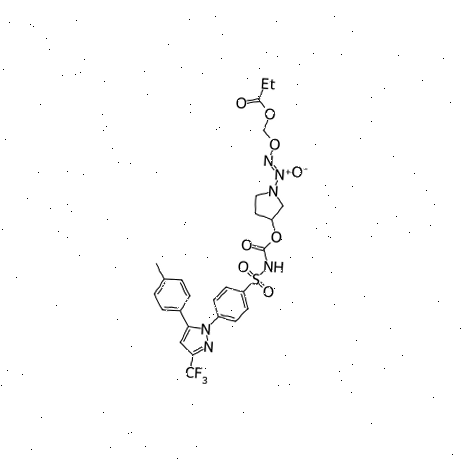 CCC(=O)OCO/N=[N+](\[O-])N1CCC(OC(=O)NS(=O)(=O)c2ccc(-n3nc(C(F)(F)F)cc3-c3ccc(C)cc3)cc2)C1